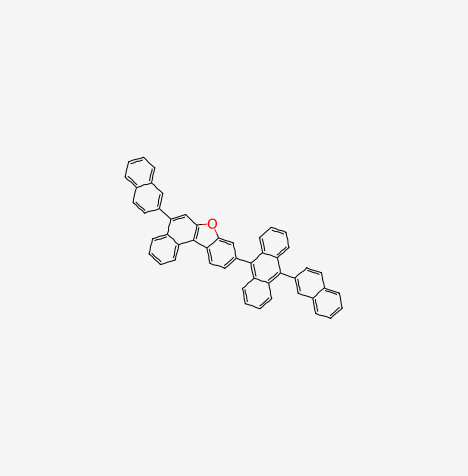 c1ccc2cc(-c3c4ccccc4c(-c4ccc5c(c4)oc4cc(-c6ccc7ccccc7c6)c6ccccc6c45)c4ccccc34)ccc2c1